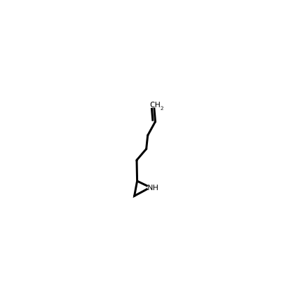 C=CCCCC1CN1